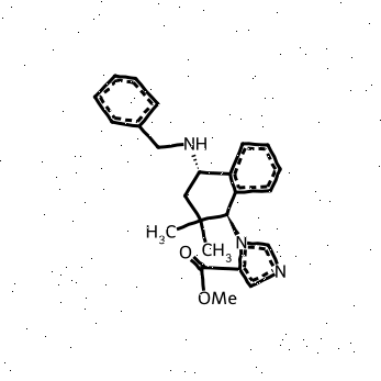 COC(=O)c1cncn1[C@@H]1c2ccccc2[C@@H](NCc2ccccc2)CC1(C)C